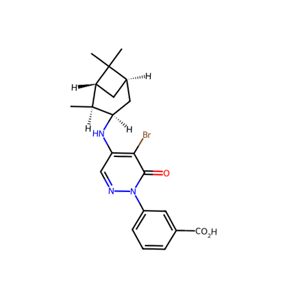 C[C@H]1[C@H]2C[C@H](C[C@H]1Nc1cnn(-c3cccc(C(=O)O)c3)c(=O)c1Br)C2(C)C